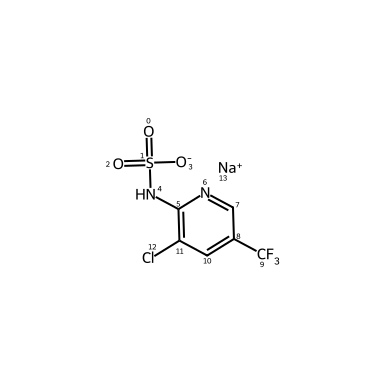 O=S(=O)([O-])Nc1ncc(C(F)(F)F)cc1Cl.[Na+]